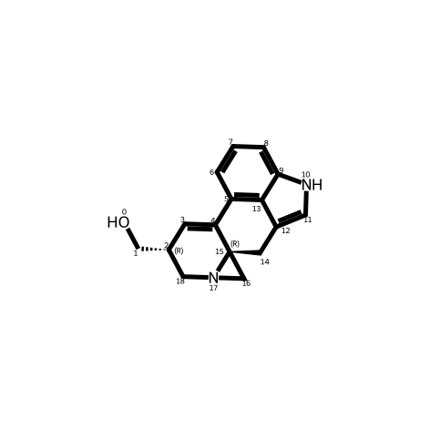 OC[C@@H]1C=C2c3cccc4[nH]cc(c34)C[C@]23CN3C1